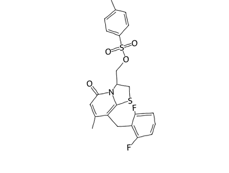 Cc1ccc(S(=O)(=O)OCC2CSc3c(Cc4c(F)cccc4F)c(C)cc(=O)n32)cc1